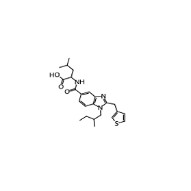 CCC(C)Cn1c(Cc2ccsc2)nc2cc(C(=O)NC(CC(C)C)C(=O)O)ccc21